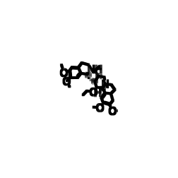 CCOC1[C@H]2C3=CC(OC)=C(OC)CC3CCN2C[C@H](CC)[C@H]1C[C@H]1NCCc2cc(OC)c(OC)cc21